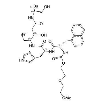 CC[C@H](C)[C@@H](CO)NC(=O)C[C@H](O)[C@H](CC(C)C)NC(=O)[C@H](Cc1c[nH]cn1)NC(=O)[C@H](Cc1cccc2ccccc12)NC(=O)OCCOCCOC